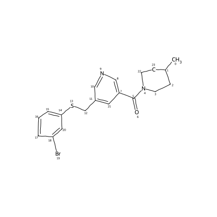 CC1CCN(C(=O)c2cncc(CSc3cccc(Br)c3)c2)CC1